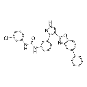 O=C(Nc1cccc(Cl)c1)Nc1cccc(-c2n[nH]cc2-c2nc3cc(-c4ccccc4)ccc3o2)c1